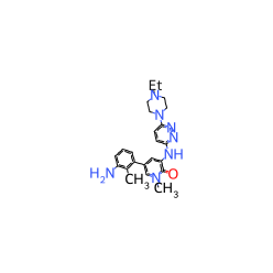 CCN1CCN(c2ccc(Nc3cc(-c4cccc(N)c4C)cn(C)c3=O)nn2)CC1